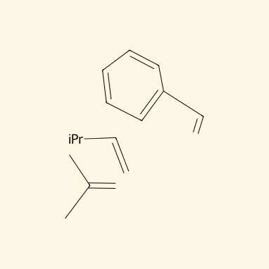 C=C(C)C.C=CC(C)C.C=Cc1ccccc1